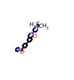 CC(C)N1CCC(N2CCc3cc(-c4ccc(C(=O)N5CCCC5)cc4)ccc3C2=O)CC1